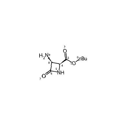 CCCCOC(=O)[C@H]1NC(=O)[C@H]1N